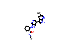 N#Cc1cnc2[nH]cc(-c3cncc(N[C@@H]4CCCC[C@@H]4C(=O)NCC(F)(F)F)c3)c2c1